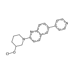 ClOC1CCCN(c2ccc3cc(-c4ccncc4)ccc3n2)C1